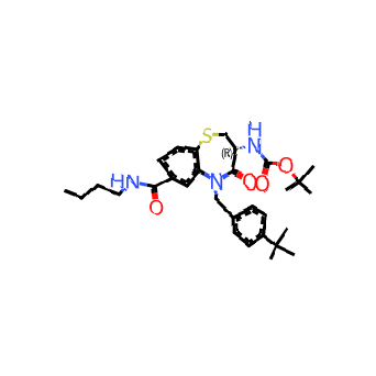 CCCCNC(=O)c1ccc2c(c1)N(Cc1ccc(C(C)(C)C)cc1)C(=O)[C@@H](NC(=O)OC(C)(C)C)CS2